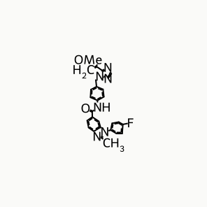 C=C(OC)c1ncnn1Cc1ccc(NC(=O)c2ccc3nc(C)n(-c4ccc(F)cc4)c3c2)cc1